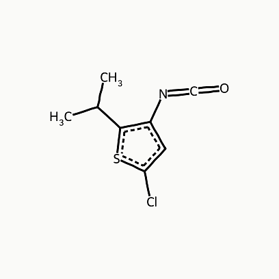 CC(C)c1sc(Cl)cc1N=C=O